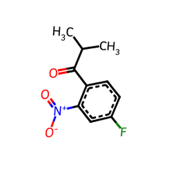 CC(C)C(=O)c1ccc(F)cc1[N+](=O)[O-]